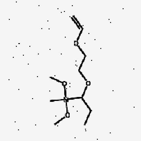 C=COCCOC(CC)[Si](C)(OC)OC